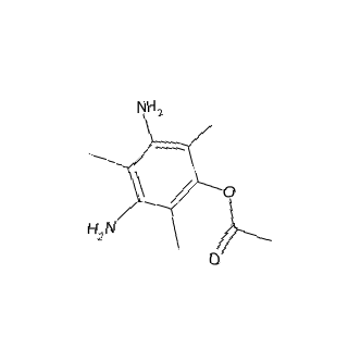 CC(=O)Oc1c(C)c(N)c(C)c(N)c1C